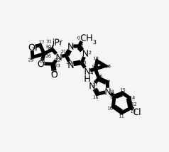 Cc1nc(NC2(c3cn(-c4ccc(Cl)cc4)cn3)CC2)nc(N2C(=O)OC3(COC3)[C@@H]2C(C)C)n1